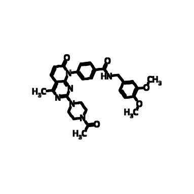 COc1ccc(CNC(=O)c2ccc(-n3c(=O)ccc4c(C)nc(N5CCN(C(C)=O)CC5)nc43)cc2)cc1OC